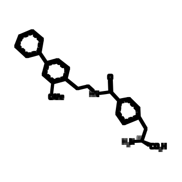 COc1cc(-c2ccccc2)ccc1CCNC(=O)c1ccc(C[C@H](N)C(=O)O)cc1